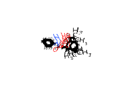 CC1=C[C@]23C(=O)[C@@H](C=C(COC(=O)Nc4ccccc4)[C@@H](O)[C@]2(O)[C@H]1O)[C@H]1[C@@H](C[C@H]3C)C1(C)C